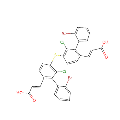 O=C(O)/C=C/c1ccc(Sc2ccc(/C=C/C(=O)O)c(-c3ccccc3Br)c2Cl)c(Cl)c1-c1ccccc1Br